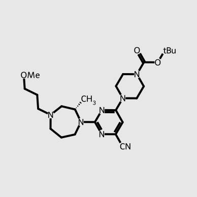 COCCCN1CCCN(c2nc(C#N)cc(N3CCN(C(=O)OC(C)(C)C)CC3)n2)[C@@H](C)C1